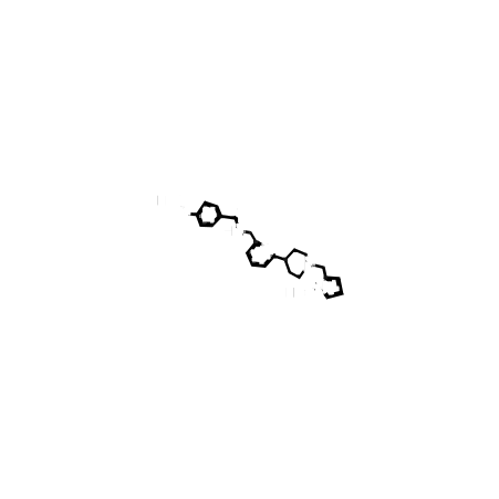 CSc1ccc(C(=O)NCc2cccc(C3CCN(Cc4cccn4C)CC3)c2)cc1